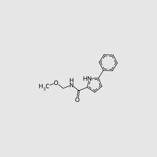 COCNC(=O)c1ccc(-c2ccccc2)[nH]1